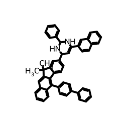 CC1(C)c2cc(C3C=C(c4ccc5ccccc5c4)NC(c4ccccc4)N3)ccc2-c2c1cc1ccccc1c2-c1ccc(-c2ccccc2)cc1